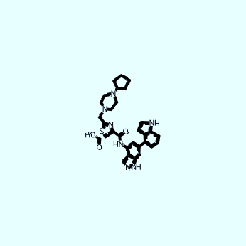 O=C(Nc1cc(-c2cccc3[nH]ccc23)cc2[nH]ncc12)c1csc(CN2CCN(C3CCCC3)CC2)n1.O=CO